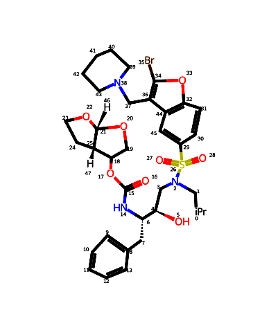 CC(C)CN(C[C@@H](O)[C@H](Cc1ccccc1)NC(=O)OC1CO[C@H]2OCC[C@@H]12)S(=O)(=O)c1ccc2oc(Br)c(CN3CCCCC3)c2c1